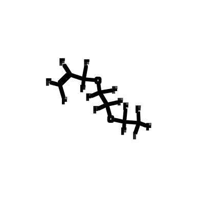 FC(F)=C(F)C(F)(F)OC(F)(F)C(F)(F)OC(F)(F)C(F)(F)I